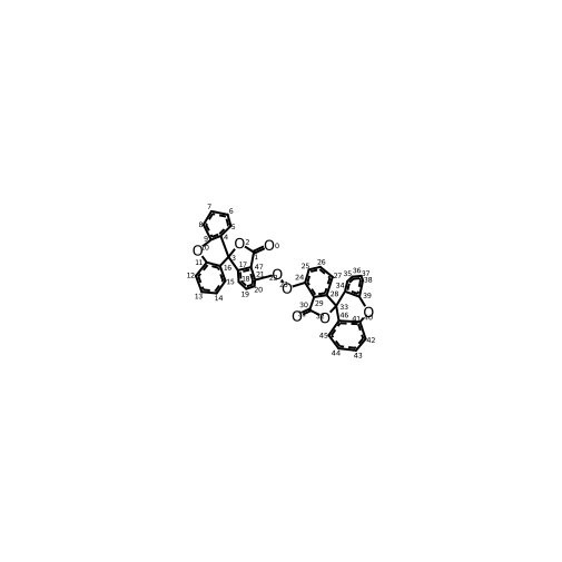 O=C1OC2(c3ccccc3Oc3ccccc32)c2cccc(OOc3cccc4c3C(=O)OC43c4ccccc4Oc4ccccc43)c21